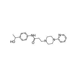 CC(O)c1ccc(NC(=O)CCN2CCN(c3ccccn3)CC2)cc1